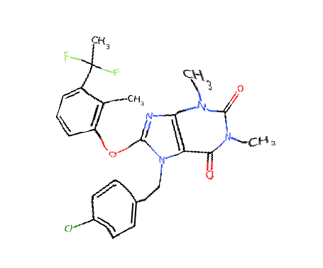 Cc1c(Oc2nc3c(c(=O)n(C)c(=O)n3C)n2Cc2ccc(Cl)cc2)cccc1C(C)(F)F